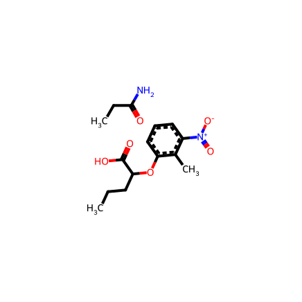 CCC(N)=O.CCCC(Oc1cccc([N+](=O)[O-])c1C)C(=O)O